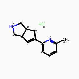 Cc1cccc(C2=CC3CNCC3C2)n1.Cl